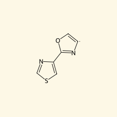 [c]1coc(-c2cscn2)n1